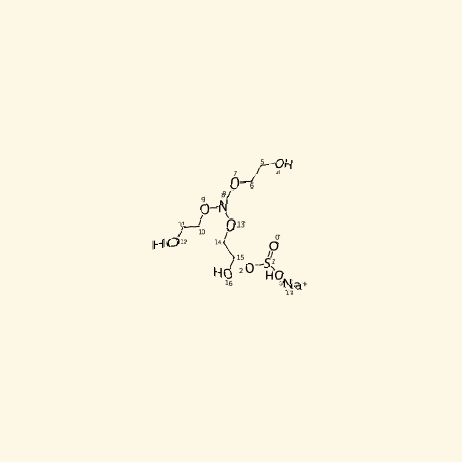 O=S([O-])O.OCCON(OCCO)OCCO.[Na+]